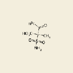 CCCC(=O)C(C)(C(=O)O)S(N)(=O)=O